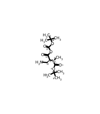 CN(C(=O)OC(C)(C)C)[C@@H](CN)C(=O)OC(=O)OC(C)(C)C